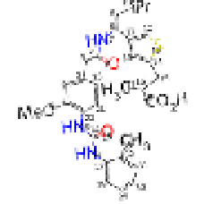 COc1cc(CC(=O)NC(CC(C)C)c2csc(CC(C)C(=O)O)c2)ccc1NC(=O)Nc1ccccc1C